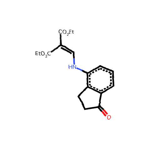 CCOC(=O)C(=CNc1cccc2c1CCC2=O)C(=O)OCC